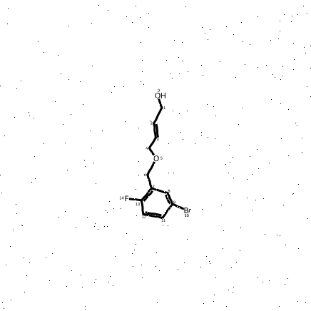 OCC=CCOCc1cc(Br)ccc1F